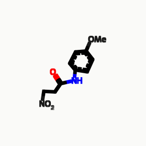 COc1ccc(NC(=O)CC[N+](=O)[O-])cc1